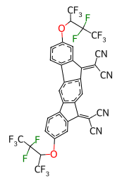 N#CC(C#N)=C1c2cc(OC(C(F)(F)F)C(F)(F)C(F)(F)F)ccc2-c2cc3c(cc21)C(=C(C#N)C#N)c1cc(OC(C(F)(F)F)C(F)(F)C(F)(F)F)ccc1-3